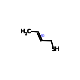 C/C=C/CS